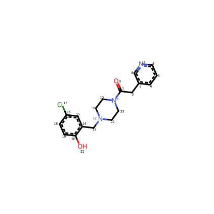 O=C(Cc1cccnc1)N1CCN(Cc2cc(Cl)ccc2O)CC1